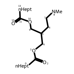 CCCCCCCC(=O)OCC(CCNC)COC(=O)CCCCCCC